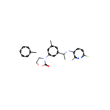 CCOC(=O)c1nc(F)ccc1NC(C)c1cc(C)cc(N2C(=O)OC[C@@H]2Cc2ccccc2)c1